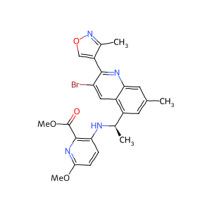 COC(=O)c1nc(OC)ccc1N[C@H](C)c1cc(C)cc2nc(-c3conc3C)c(Br)cc12